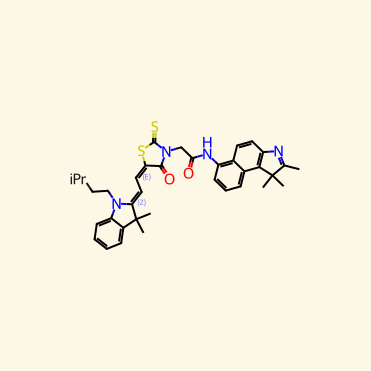 CC1=Nc2ccc3c(NC(=O)CN4C(=O)/C(=C\C=C5/N(CCC(C)C)c6ccccc6C5(C)C)SC4=S)cccc3c2C1(C)C